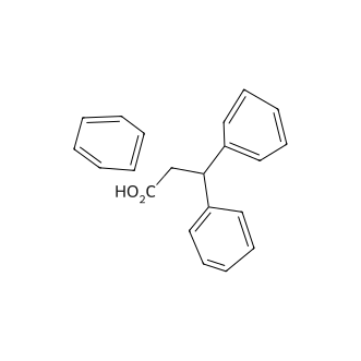 O=C(O)CC(c1ccccc1)c1ccccc1.c1ccccc1